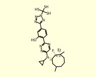 CC[C@]1(C)CCCC(C)C[C@H](N(c2cnc(-c3ccc(-c4nnn(C(S)(S)S)n4)cc3O)nn2)C2CC2)[C@@H]1F